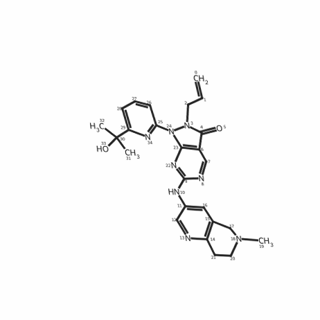 C=CCn1c(=O)c2cnc(Nc3cnc4c(c3)CN(C)CC4)nc2n1-c1cccc(C(C)(C)O)n1